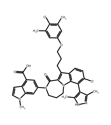 Cc1cc(OCCCc2c3n(c4c(-c5c(C)n[nH]c5C)c(Cl)ccc24)CCCN(c2cc(C(=O)O)c4ccn(C)c4c2)C3=O)cc(C)c1Cl